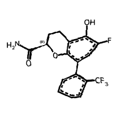 NC(=O)[C@H]1CCc2c(O)c(F)cc(-c3ccccc3C(F)(F)F)c2O1